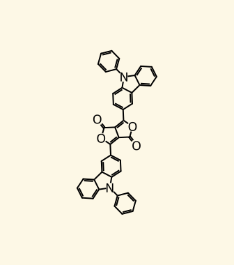 O=C1OC(c2ccc3c(c2)c2ccccc2n3-c2ccccc2)=C2C(=O)OC(c3ccc4c(c3)c3ccccc3n4-c3ccccc3)=C12